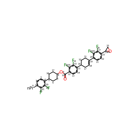 CCCc1ccc(C2CCC(OC(=O)c3ccc(C4CC=C(c5ccc(C6CO6)c(F)c5F)CC4)c(F)c3F)CC2)c(F)c1F